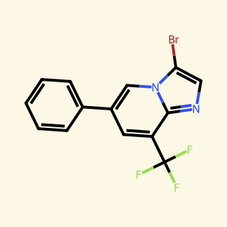 FC(F)(F)c1cc(-c2ccccc2)cn2c(Br)cnc12